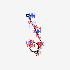 CNN(C)Cc1cc2ccccc2n1CCC(=O)NCCNC(=O)C[C@H](O)C(=O)NCCOCCOCCC(=O)N(C)[C@@H](C)C(=O)O[C@H]1CC(=O)N(C)c2cc(cc(OC)c2Cl)C/C(C)=C/C=C/[C@@H](OC)[C@@]2(O)C[C@H](OC(=O)N2)[C@@H](C)CC1(C)O